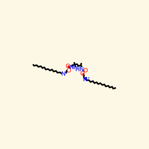 CCCCCCCCCCCCCCCC[N+](C)(C)CCOC(=O)NCC(C)CCC(C)(C)CNC(=O)OCC[N+](C)(C)CCCCCCCCCCCCCCCC